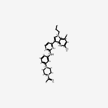 CCCn1cc(-c2ccnc(Nc3cccc(N4CCN(C(C)=O)CC4)c3)n2)c2nc(Cl)cc(C)c21